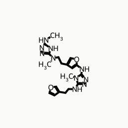 CNc1nnc(N(C)CCc2coc(Nc3nnc(NCCc4ccoc4)n3C)c2)[nH]1